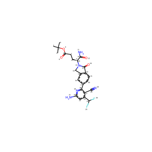 CC(C)(C)OC(=O)CC[C@@H](C(N)=O)N1Cc2cc(-c3nc(N)cc(C(F)F)c3C#N)ccc2C1=O